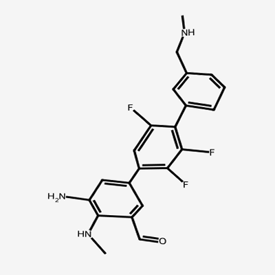 CNCc1cccc(-c2c(F)cc(-c3cc(N)c(NC)c(C=O)c3)c(F)c2F)c1